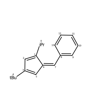 CC(C)C1=CC(C(C)(C)C)=CC1=Cc1ccccc1